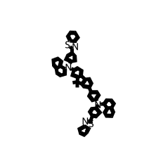 CC1(C)c2cc(-c3ccc(N(c4ccc(-c5nc6ccccc6s5)cc4)c4cccc5ccccc45)cc3)ccc2-c2ccc(N(c3ccc(-c4nc5ccccc5s4)cc3)c3cccc4ccccc34)cc21